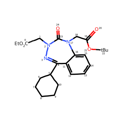 CCOC(=O)CN1N=C(C2CCCCC2)c2ccccc2N(CC(=O)OC(C)(C)C)C1=O